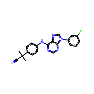 CC(C)(C#N)c1ccc(Nc2ncnc3c2ncn3-c2cccc(Cl)c2)cc1